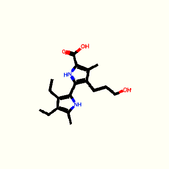 CCc1c(C)[nH]c(-c2[nH]c(C(=O)O)c(C)c2CCCO)c1CC